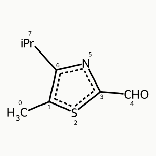 Cc1sc(C=O)nc1C(C)C